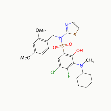 COc1ccc(CN(c2nccs2)S(=O)(=O)c2cc(Cl)c(F)c(N(C)C3CCCCC3)c2O)c(OC)c1